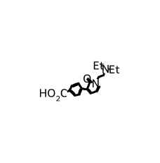 CCN(CC)CCn1cccc(-c2ccc(C(=O)O)cc2)c1=O